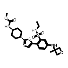 CCNS(=O)(=O)c1cc(NC2(C)COC2)ccc1-c1cnc([C@H]2CC[C@H](NC(=O)OC)CC2)s1